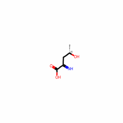 C[C@H](O)CC(=N)C(=O)O